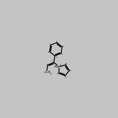 C/C=C(/c1ccccc1)[SiH]1C=CC=C1